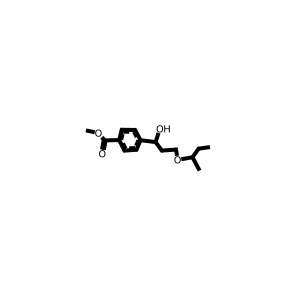 CCC(C)OCCC(O)c1ccc(C(=O)OC)cc1